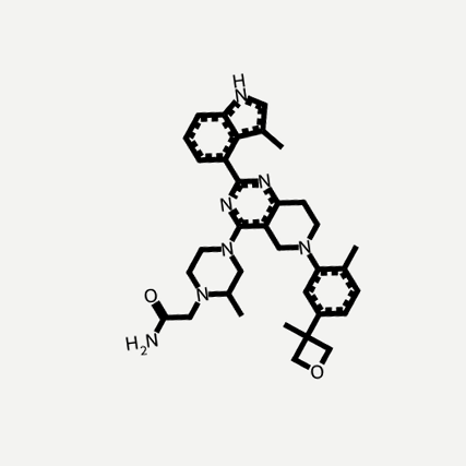 Cc1ccc(C2(C)COC2)cc1N1CCc2nc(-c3cccc4[nH]cc(C)c34)nc(N3CCN(CC(N)=O)C(C)C3)c2C1